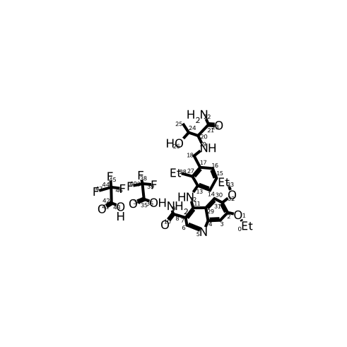 CCOc1cc2ncc(C(N)=O)c(Nc3cccc(CNC(C(N)=O)C(C)O)c3CC)c2cc1OCC.O=C(O)C(F)(F)F.O=C(O)C(F)(F)F